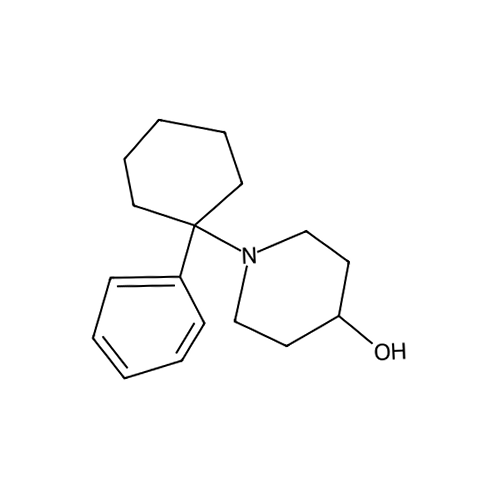 OC1CCN(C2(c3ccccc3)CCCCC2)CC1